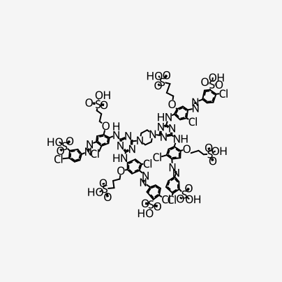 O=S(=O)(O)CCCOc1cc(N=Nc2ccc(Cl)c(S(=O)(=O)O)c2)c(Cl)cc1Nc1nc(Nc2cc(Cl)c(N=Nc3ccc(Cl)c(S(=O)(=O)O)c3)cc2OCCCS(=O)(=O)O)nc(N2CCN(c3nc(Nc4cc(Cl)c(N=Nc5ccc(Cl)c(S(=O)(=O)O)c5)cc4OCCCS(=O)(=O)O)nc(Nc4cc(Cl)c(N=Nc5ccc(Cl)c(S(=O)(=O)O)c5)cc4OCCCS(=O)(=O)O)n3)CC2)n1